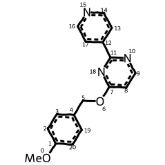 COc1ccc(COc2ccnc(-c3ccncc3)n2)cc1